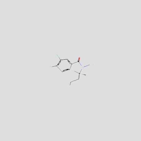 CC(C)(C)N(C(=O)c1ccc([N+](=O)[O-])c(F)c1)[C@@](CCC(=O)O)(C(=O)O)C(C)(C)C